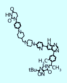 Cc1cc(-c2ncnc3[nH]c(-c4ccc(N5CCN(CC6CCN(c7ccc(N8CCC(=O)NC8=O)cc7)CC6)CC5)cn4)cc23)ccc1C(C)NC(=O)c1noc(C(C)(C)C)n1